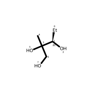 CC[C@@H](O)C(C)(O)CO